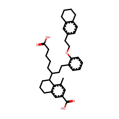 Cc1cc(C(=O)O)cc2c1C(C(CCCCC(=O)O)CCc1ccccc1OCCc1ccc3c(c1)CCCC3)CCC2